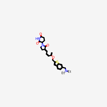 C=C(/C=C\C=C1/CCN(C2CCC(=O)NC2=O)C1=O)OCc1cc2ccc(CN(CC)CC)cc2s1